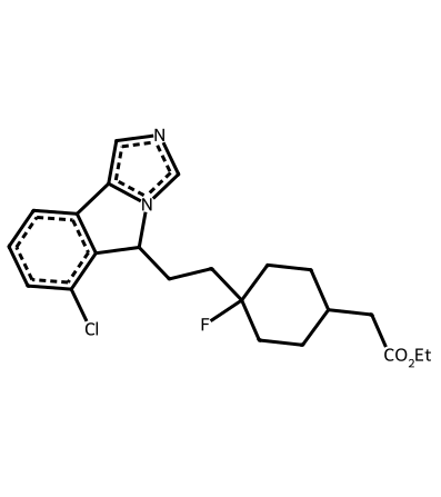 CCOC(=O)CC1CCC(F)(CCC2c3c(Cl)cccc3-c3cncn32)CC1